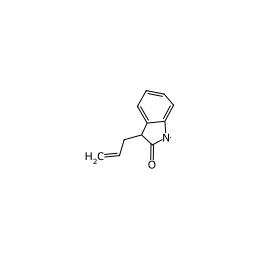 C=CCC1C(=O)[N]c2ccccc21